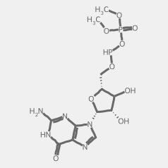 COP(=O)(OC)OPOC[C@H]1O[C@@H](n2cnc3c(=O)[nH]c(N)nc32)[C@@H](O)C1O